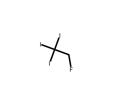 FCC(I)(I)I